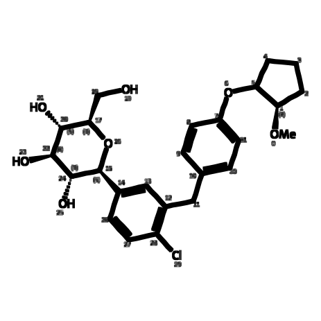 CO[C@@H]1CCCC1Oc1ccc(Cc2cc([C@@H]3O[C@H](CO)[C@@H](O)[C@H](O)[C@H]3O)ccc2Cl)cc1